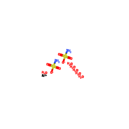 NS(=O)(=O)[O-].NS(=O)(=O)[O-].O.O.O.O.O.O.[Ni+2]